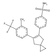 Cc1cc(C2=C(c3ccc(S(N)(=O)=O)cc3)CC3(CC3)C2)ccc1C(F)(F)F